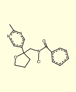 Cc1ncc(C2(CN(Cl)C(=O)c3ccccc3)CCCO2)cn1